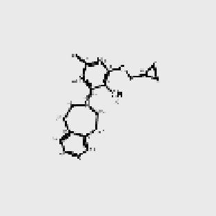 Cc1nc(OCC2CC2)c(C#N)c(N2CCc3ccccc3CC2)n1